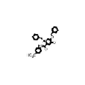 O=C(O)c1ccc(NC(=O)c2cc(=O)c(OCc3ccccc3)cn2OCc2ccccc2)cc1